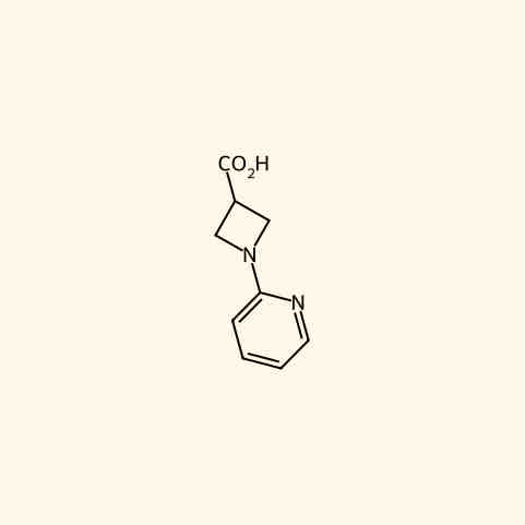 O=C(O)C1CN(c2ccccn2)C1